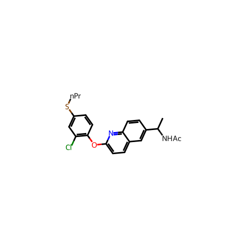 CCCSc1ccc(Oc2ccc3cc(C(C)NC(C)=O)ccc3n2)c(Cl)c1